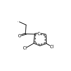 [CH2]CC(=O)c1ccc(Cl)cc1Cl